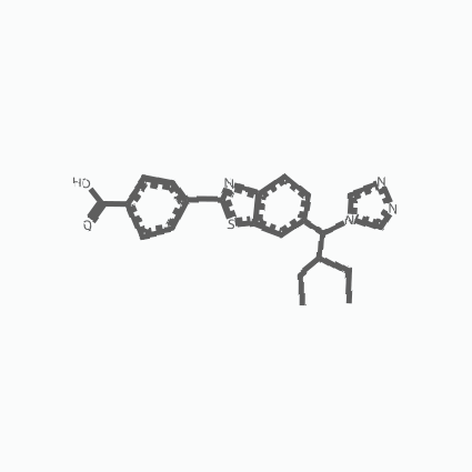 CCC(CC)C(c1ccc2nc(-c3ccc(C(=O)O)cc3)sc2c1)n1cnnc1